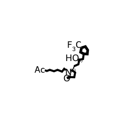 CC(=O)CCCCCCN1C(=O)CC[C@@H]1CC[C@@H](O)Cc1cccc(C(F)(F)F)c1